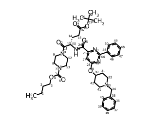 CCCCOC(=O)N1CCN(C(=O)[C@H](CCC(=O)OC(C)(C)C)NC(=O)c2cc(OC3CCN(Cc4ccccc4)CC3)nc(-c3ccccc3)n2)CC1